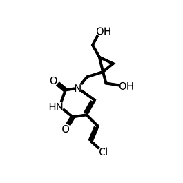 O=c1[nH]c(=O)n(CC2(CO)CC2CO)cc1C=CCl